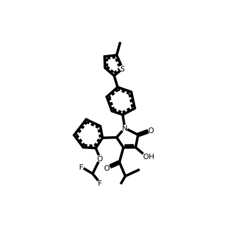 Cc1ccc(-c2ccc(N3C(=O)C(O)=C(C(=O)C(C)C)C3c3ccccc3OC(F)F)cc2)s1